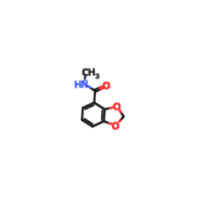 CNC(=O)c1cccc2c1OCO2